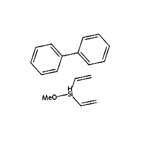 C=C[SiH](C=C)OC.c1ccc(-c2ccccc2)cc1